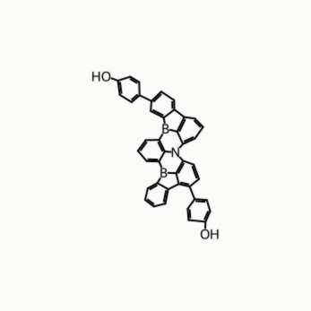 Oc1ccc(-c2ccc3c(c2)B2c4cccc5c4N(c4cccc-3c42)c2ccc(-c3ccc(O)cc3)c3c2B5c2ccccc2-3)cc1